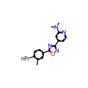 CCCc1ccc(-c2nc(-c3ccnc(N(C)C)c3)no2)cc1C